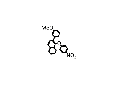 COc1cccc(-c2ccc3ccccc3c2Oc2ccc([N+](=O)[O-])cc2)c1